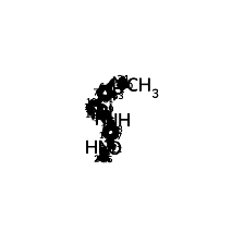 CC1CN(Cc2ccc(-c3cccn4nc(Nc5ccc(C(=O)NC6CC6)cc5)nc34)cc2F)C1